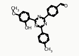 COc1ccc(-c2nc(-c3ccc(C)cc3)nc(-c3ccc(C=O)cc3)n2)c(O)c1